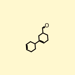 O=CC1CCC=C(C2CC=CCC2)C1